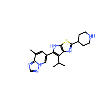 Cc1cc(-c2[nH]c3sc(C4CCNCC4)nc3c2C(C)C)cn2ncnc12